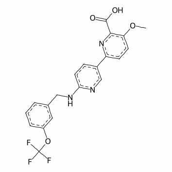 COc1ccc(-c2ccc(NCc3cccc(OC(F)(F)F)c3)nc2)nc1C(=O)O